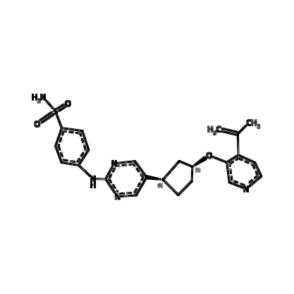 C=C(C)c1ccncc1O[C@H]1CC[C@@H](c2cnc(Nc3ccc(S(N)(=O)=O)cc3)nc2)C1